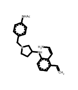 C=Cc1cccc(NC2CCN(Cc3ccc(NC(C)=O)cc3)C2)c1/C=C\N